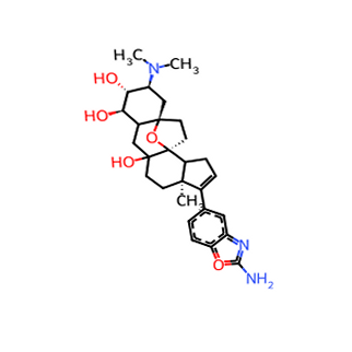 CN(C)[C@H]1C[C@@]23CC[C@]4(O2)C2CC=C(c5ccc6oc(N)nc6c5)[C@@]2(C)CCC4(O)CC3[C@@H](O)[C@@H]1O